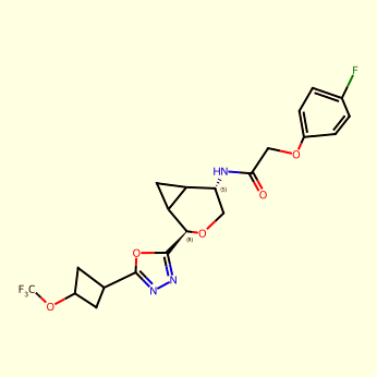 O=C(COc1ccc(F)cc1)N[C@@H]1CO[C@@H](c2nnc(C3CC(OC(F)(F)F)C3)o2)C2CC21